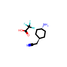 N#CC[C@H]1CC[C@H](N)CC1.O=C(O)C(F)(F)F